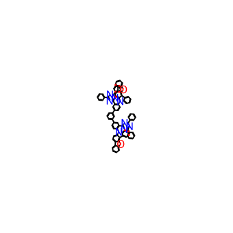 c1ccc(-c2nc(-c3ccccc3)nc(-c3cc(-c4cccc(-c5ccc(-n6c7ccccc7c7c8oc9ccccc9c8ccc76)c(-c6nc(-c7ccccc7)nc(-c7ccccc7)n6)c5)c4)ccc3-n3c4ccccc4c4c5oc6ccccc6c5ccc43)n2)cc1